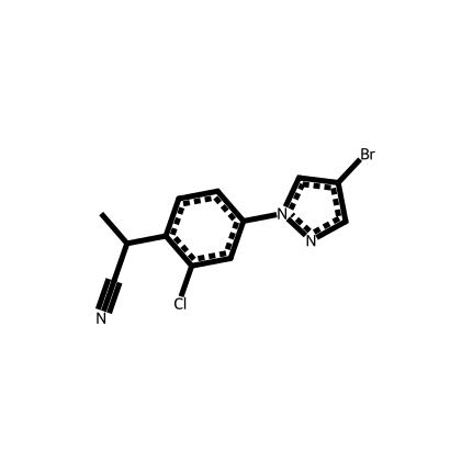 CC(C#N)c1ccc(-n2cc(Br)cn2)cc1Cl